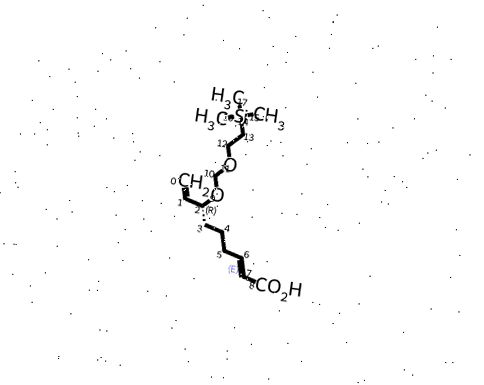 C=C[C@@H](CCC/C=C/C(=O)O)OCOCC[Si](C)(C)C